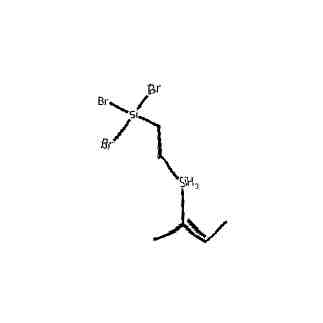 CC=C(C)[SiH2]CC[Si](Br)(Br)Br